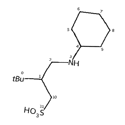 CC(C)(C)C(CNC1CCCCC1)CS(=O)(=O)O